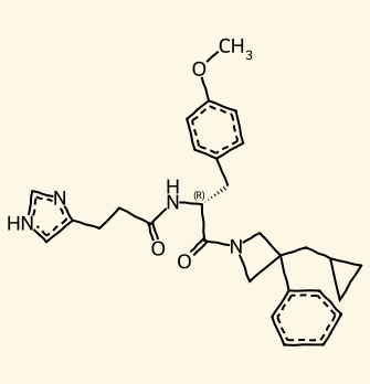 COc1ccc(C[C@@H](NC(=O)CCc2c[nH]cn2)C(=O)N2CC(CC3CC3)(c3ccccc3)C2)cc1